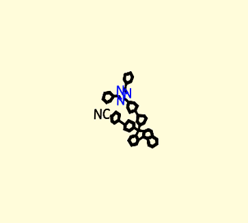 N#Cc1ccc(-c2ccc(C3(c4cccc(-c5ccc(-c6nc(-c7ccccc7)nc(-c7ccccc7)n6)cc5)c4)c4ccccc4-c4c3ccc3ccccc43)cc2)cc1